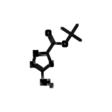 CC(C)(C)OC(=O)c1nnc(N)s1